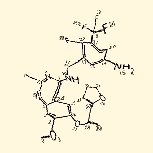 COc1cc2nc(C)nc(NCc3cc(N)cc(C(F)(F)F)c3F)c2cc1OC(C)C1CCCO1